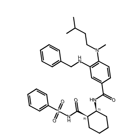 CC(C)CCN(C)c1ccc(C(=O)N[C@H]2CCCC[C@H]2C(=O)NS(=O)(=O)c2ccccc2)cc1NCc1ccccc1